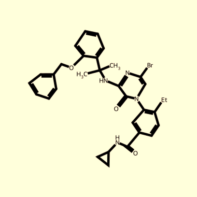 CCc1ccc(C(=O)NC2CC2)cc1-n1cc(Br)nc(NC(C)(C)c2ccccc2OCc2ccccc2)c1=O